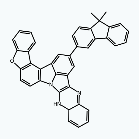 CC1(C)c2ccccc2-c2cc(-c3cc4c5c(n6c7ccc8oc9ccccc9c8c7c(c3)c46)NC3C=CC=CC3=N5)ccc21